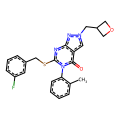 Cc1ccccc1-n1c(SCc2cccc(F)c2)nc2nn(CC3COC3)cc2c1=O